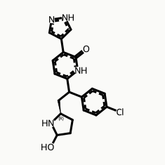 O=c1[nH]c(C(C[C@H]2CCC(O)N2)c2ccc(Cl)cc2)ccc1-c1cn[nH]c1